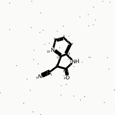 N#CC1C(=O)Nc2cccnc21